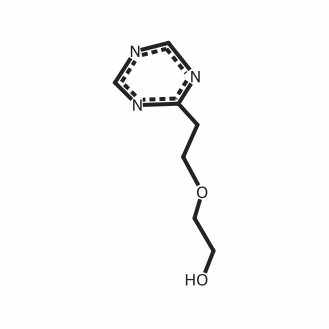 OCCOCCc1ncncn1